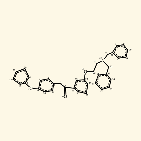 O=C([CH]c1ccc(Oc2ccccc2)cc1)c1cccc(OCCN(Cc2ccccc2)Cc2ccccc2)c1